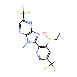 CC[S+]([O-])c1cc(C(F)(F)F)cnc1-c1nc2nc(C(F)(F)F)cnc2n1C